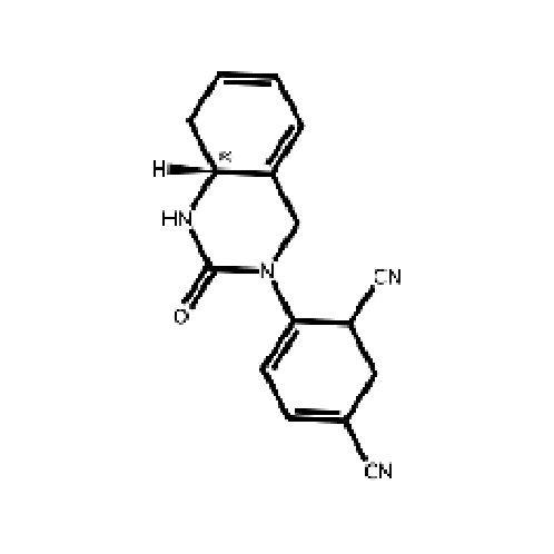 N#CC1=CC=C(N2CC3=CC=CC[C@H]3NC2=O)C(C#N)C1